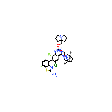 CNCCN1[C@@H]2CC[C@H]1CN(c1nc(OCC34CCCN3CCC4)nc3c(F)c(-c4ccc(F)c5sc(N)nc45)c(Cl)cc13)C2